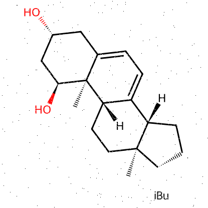 CC[C@H](C)[C@H]1CC[C@H]2C3=CC=C4C[C@@H](O)C[C@H](O)[C@]4(C)[C@H]3CC[C@]12C